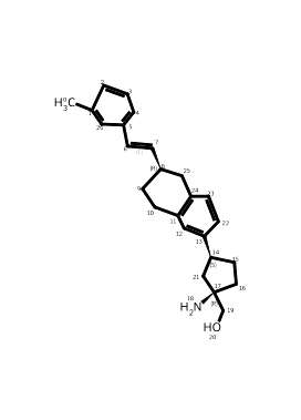 Cc1cccc(/C=C/[C@@H]2CCc3cc([C@H]4CC[C@](N)(CO)C4)ccc3C2)c1